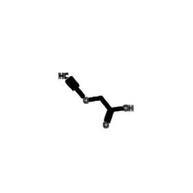 C#COCC(=O)O